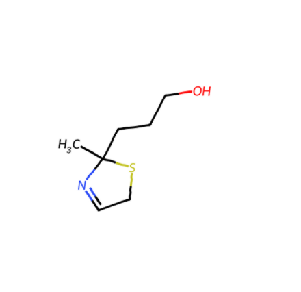 CC1(CCCO)N=CCS1